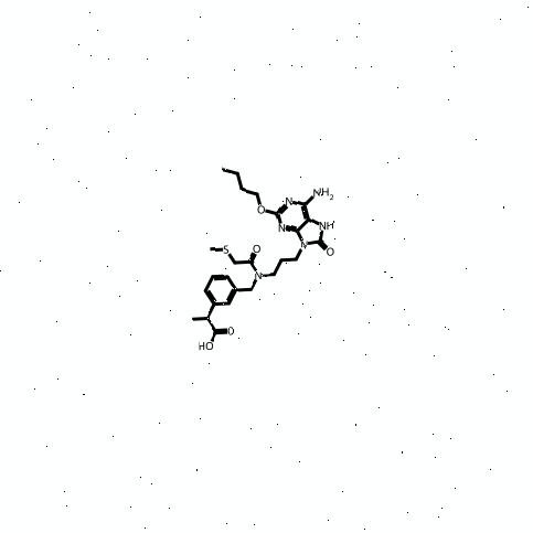 CCCCOc1nc(N)c2[nH]c(=O)n(CCCN(Cc3cccc(C(C)C(=O)O)c3)C(=O)CSC)c2n1